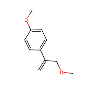 C=C(COC)c1ccc(OC)cc1